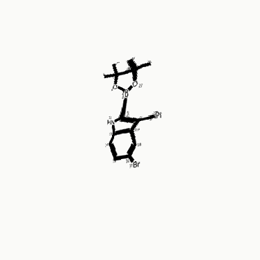 CC(C)c1c(B2OC(C)(C)C(C)(C)O2)[nH]c2ccc(Br)cc12